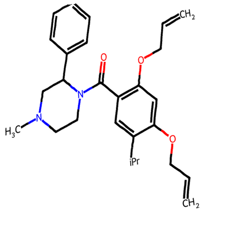 C=CCOc1cc(OCC=C)c(C(C)C)cc1C(=O)N1CCN(C)CC1c1ccccc1